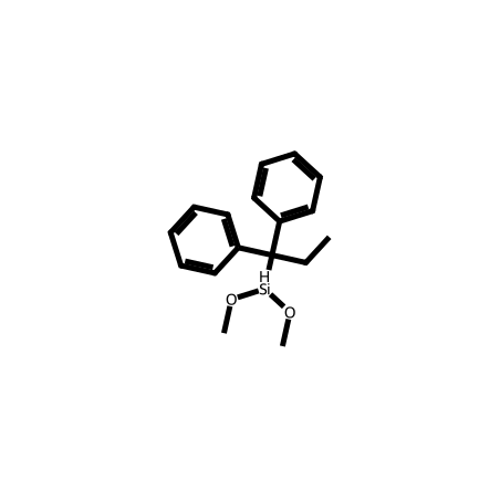 CCC(c1ccccc1)(c1ccccc1)[SiH](OC)OC